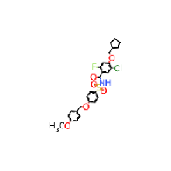 COc1ccc(COc2ccc(S(=O)(=O)NC(=O)c3cc(Cl)c(OCC4CCCC4)cc3F)cc2)cc1